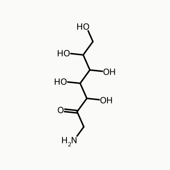 NCC(=O)C(O)C(O)C(O)C(O)CO